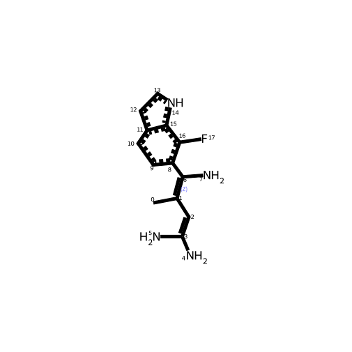 C/C(C=C(N)N)=C(/N)c1ccc2cc[nH]c2c1F